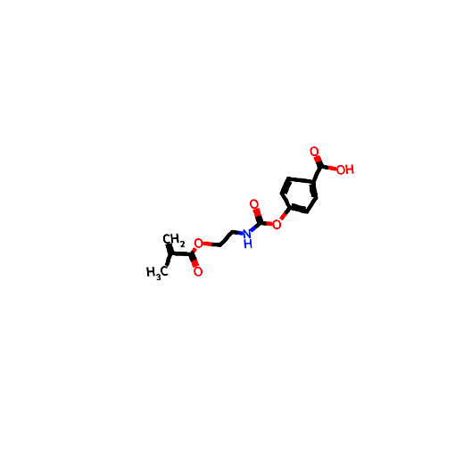 C=C(C)C(=O)OCCNC(=O)Oc1ccc(C(=O)O)cc1